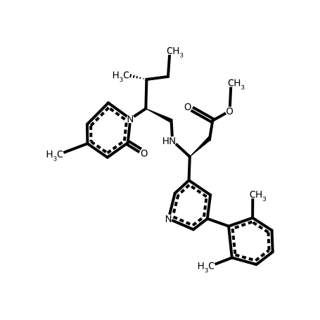 CC[C@@H](C)[C@@H](CN[C@@H](CC(=O)OC)c1cncc(-c2c(C)cccc2C)c1)n1ccc(C)cc1=O